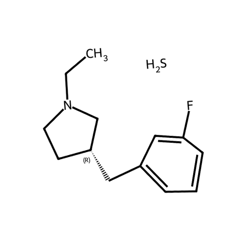 CCN1CC[C@@H](Cc2cccc(F)c2)C1.S